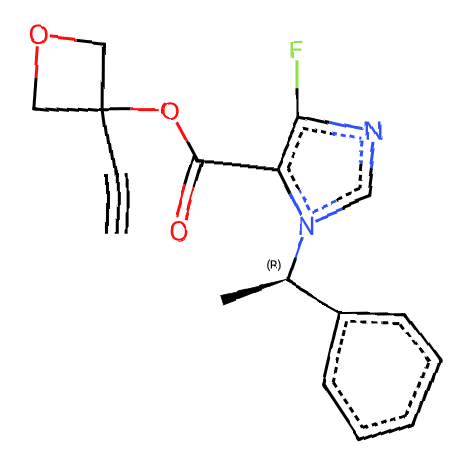 C#CC1(OC(=O)c2c(F)ncn2[C@H](C)c2ccccc2)COC1